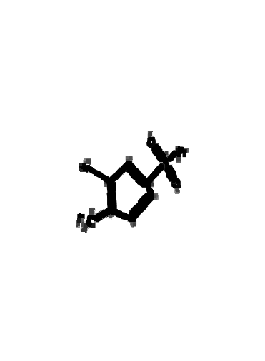 CC(C)S(=O)(=O)c1ccc(C(F)(F)F)c(Br)c1